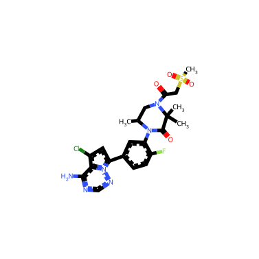 CC1CN(C(=O)CS(C)(=O)=O)C(C)(C)C(=O)N1c1cc(-c2cc(Cl)c3c(N)ncnn23)ccc1F